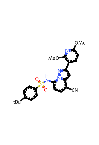 COc1ccc(-c2cc3c(C#N)ccc(NS(=O)(=O)c4ccc(C(C)(C)C)cc4)n3n2)c(OC)n1